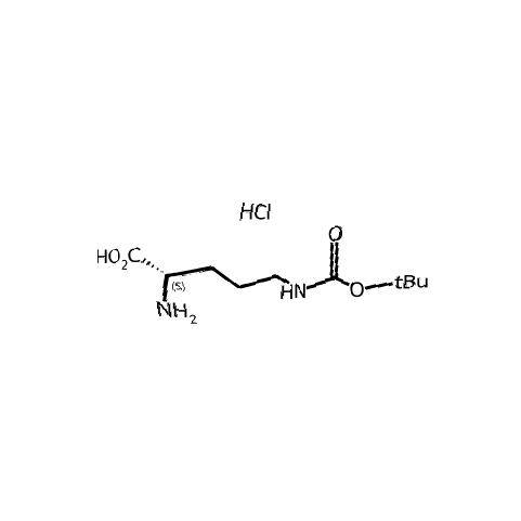 CC(C)(C)OC(=O)NCCC[C@H](N)C(=O)O.Cl